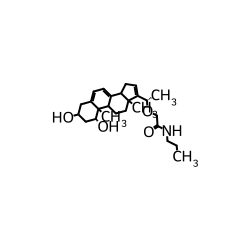 CCCNC(=O)CO[C@@H](C)C1=CCC2C3=CC=C4CC(O)C[C@H](O)C4(C)C3CCC12C